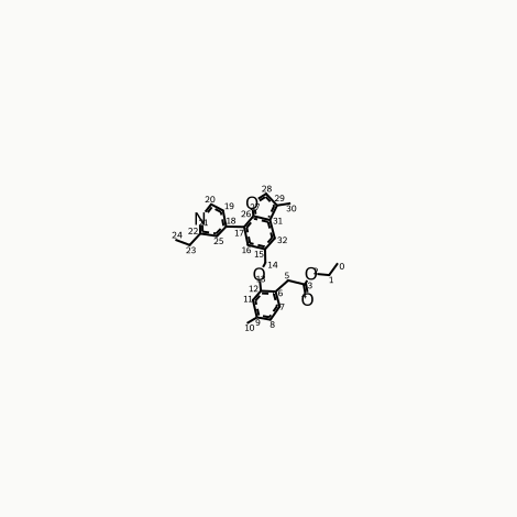 CCOC(=O)Cc1ccc(C)cc1OCc1cc(-c2ccnc(CC)c2)c2occ(C)c2c1